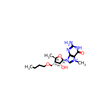 CCCCOC[C@H]1[C@@H](O)[C@H](n2c[n+](C)c3c(=O)[nH]c(N)nc32)O[C@@H]1C